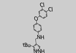 CC(C)(C)c1n[nH]cc1CNc1ccc(Oc2ccc(Cl)c(Cl)c2)cc1